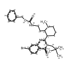 CN1CCCC(c2nc3cc(Br)ccc3c(=O)n2CC(C)(C)C)C1CCNC(=O)OCc1ccccc1